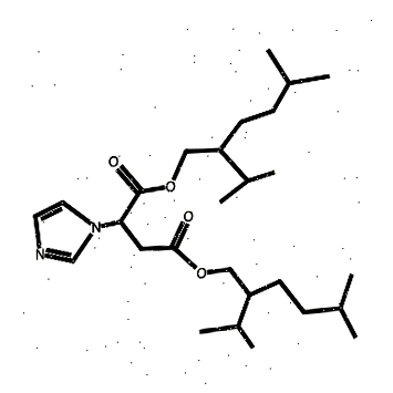 CC(C)CCC(COC(=O)CC(C(=O)OCC(CCC(C)C)C(C)C)n1ccnc1)C(C)C